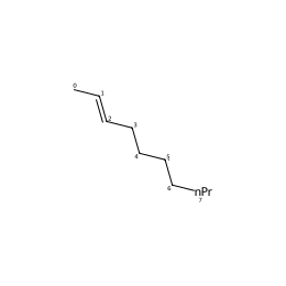 CC=CCC[CH]CCCC